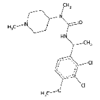 COc1ccc(C(C)NC(=O)N(C)C2CCN(C)CC2)c(Cl)c1Cl